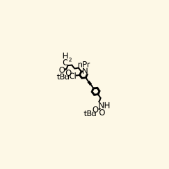 C=C(CCC(CCC)c1ncc(C#Cc2ccc(CCNC(=O)OC(C)(C)C)cc2)cc1Cl)C(=O)OC(C)(C)C